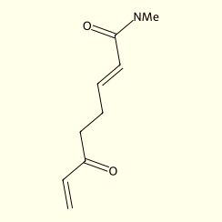 C=CC(=O)CC/C=C/C(=O)NC